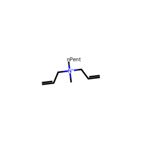 C=CC[N+](C)(CC=C)CCCCC